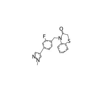 Cn1cc(-c2ccc(CN3C(=O)CSc4ccccc43)c(F)c2)cn1